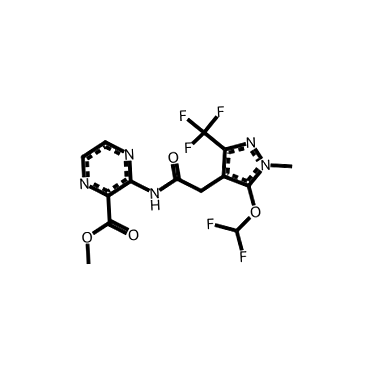 COC(=O)c1nccnc1NC(=O)Cc1c(C(F)(F)F)nn(C)c1OC(F)F